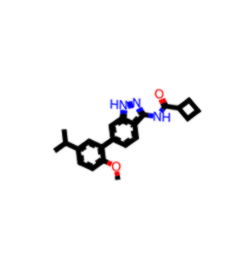 COc1ccc(C(C)C)cc1-c1ccc2c(NC(=O)C3CCC3)n[nH]c2c1